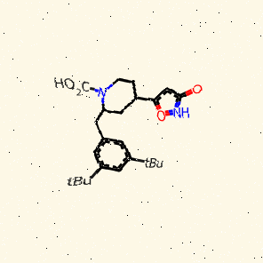 CC(C)(C)c1cc(CC2CC(c3cc(=O)[nH]o3)CCN2C(=O)O)cc(C(C)(C)C)c1